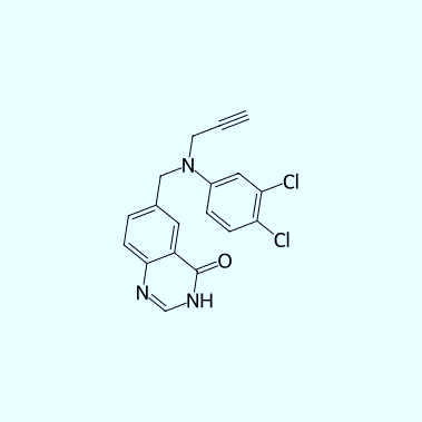 C#CCN(Cc1ccc2nc[nH]c(=O)c2c1)c1ccc(Cl)c(Cl)c1